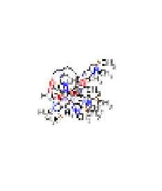 CCC(=C\c1cc(SC)n(C)n1)/C1=C\CCOC(=O)C[C@H](O)C(/C(=C/c2cc(SC)n(C)n2)CC)(/C(=C/c2cc(SC)n(C)n2)CC)C(=O)[C@H](/C(=C/c2cc(SC)n(C)n2)CC)[C@@H](O)[C@H](/C(=C/c2cc(SC)n(C)n2)CC)CCC1